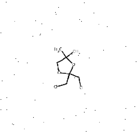 CC1(C)COC(CCl)(CCl)O1